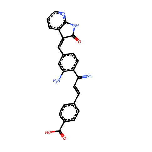 N=C(/C=C/c1ccc(C(=O)O)cc1)c1ccc(C=C2C(=O)Nc3ncccc32)cc1N